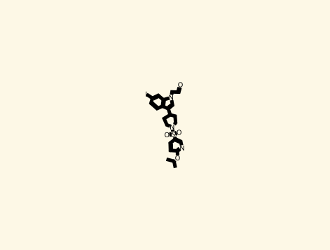 CC(C)Oc1ccc(S(=O)(=O)N2CCC(c3cn(CC=O)c4cc(I)ccc34)CC2)cn1